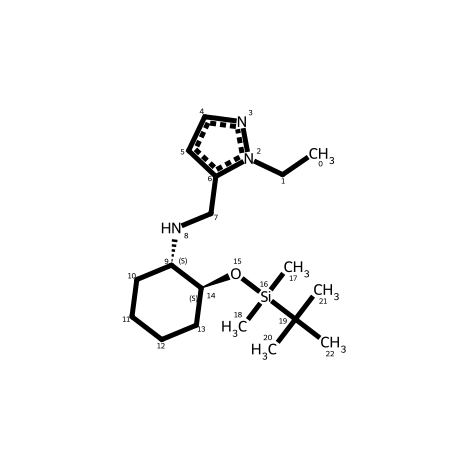 CCn1nccc1CN[C@H]1CCCC[C@@H]1O[Si](C)(C)C(C)(C)C